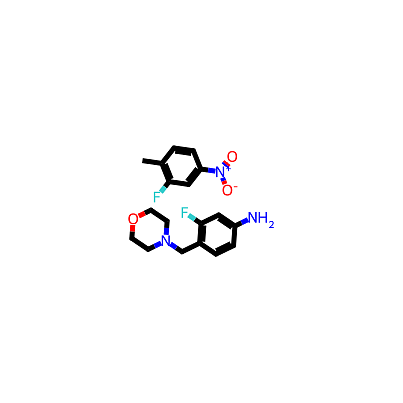 Cc1ccc([N+](=O)[O-])cc1F.Nc1ccc(CN2CCOCC2)c(F)c1